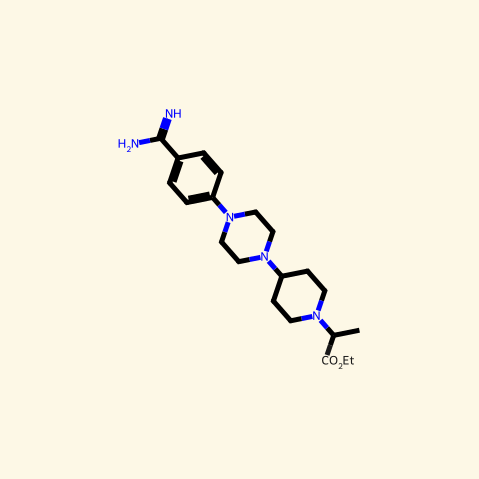 CCOC(=O)C(C)N1CCC(N2CCN(c3ccc(C(=N)N)cc3)CC2)CC1